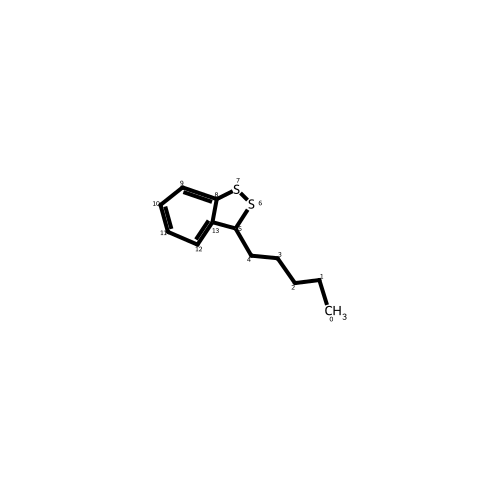 CCCCCC1SSc2ccccc21